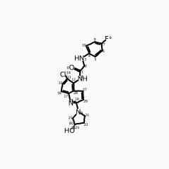 O=C(CNc1ccc(F)cc1)Nc1c(Cl)ccc2nc(N3CC[C@@H](O)C3)ccc12